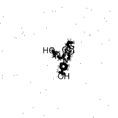 CC(C)(O)c1ccc(N2CCN(S(=O)(=O)c3cccs3)CC2CN2CC(O)C2)cc1